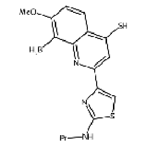 Bc1c(OC)ccc2c(S)cc(-c3csc(NC(C)C)n3)nc12